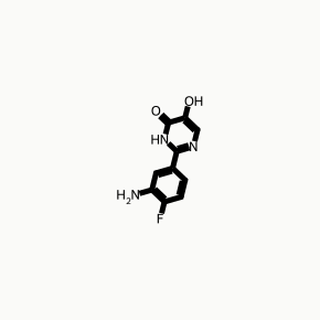 Nc1cc(-c2ncc(O)c(=O)[nH]2)ccc1F